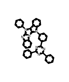 c1ccc(-c2nc(-c3ccccc3)nc(-c3cccc(-n4c5ccccc5c5c4n4c6ccccc6nc4n5-c4ccccc4)c3)n2)cc1